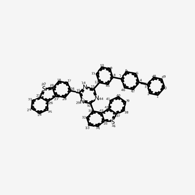 c1ccc(-c2ccc(-c3cccc(-c4nc(-c5ccc6sc7ccccc7c6c5)nc(-c5cccc6sc7ccccc7c56)n4)c3)cc2)cc1